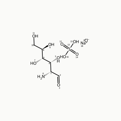 N[C@@H](C=O)[C@@H](O)[C@H](O)[C@H](O)CO.O=S(=O)(O)O.[Cl-].[Na+]